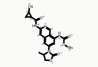 CC1COC(=O)N1c1cc(NC(=O)OC(C)(C)C)c2cnc(NC(=O)C3CC3C#N)cc2c1